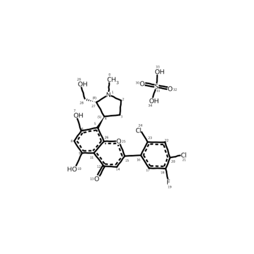 CN1CC[C@@H](c2c(O)cc(O)c3c(=O)cc(-c4cc(F)c(Cl)cc4Cl)oc23)[C@@H]1CO.O=S(=O)(O)O